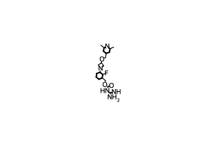 Cc1cc(COC2CN(c3cccc(COC(=O)NC(=N)N)c3F)C2)cc(C)n1